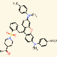 Cc1ccc(/[N+](C)=c2\ccc3c(Cc4ccccc4S(=O)(=O)N4CCC(C(=O)C(C)C)CC4)c4ccc(N(C)c5ccc(S(=O)(=O)O)cc5)cc4oc-3c2)cc1